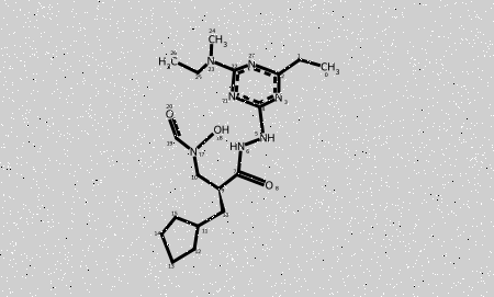 CCc1nc(NNC(=O)[C@@H](CC2CCCC2)CN(O)C=O)nc(N(C)CC)n1